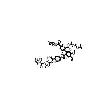 C=Cc1cc(C(=O)Nc2ccc(C(=N)NC(=O)OC(C)OC(=O)[C@@H](N)C(C)C)cc2)c(-c2ccc(C(=O)NCC3CC3)nc2C(=O)OC(C)OC(=O)OC(C)C)cc1OC